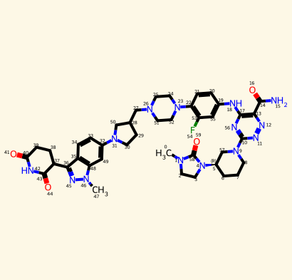 CN1CCN([C@@H]2CCCN(c3nnc(C(N)=O)c(Nc4ccc(N5CCN(CC6CCN(c7ccc8c(C9CCC(=O)NC9=O)nn(C)c8c7)C6)CC5)c(F)c4)n3)C2)C1=O